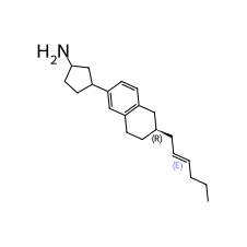 CCC/C=C/C[C@H]1CCc2cc(C3CCC(N)C3)ccc2C1